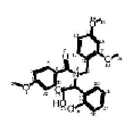 COc1ccc(C(=O)N(Cc2ccc(OC)cc2OC)C(C(=O)O)c2ccccc2Cl)cc1